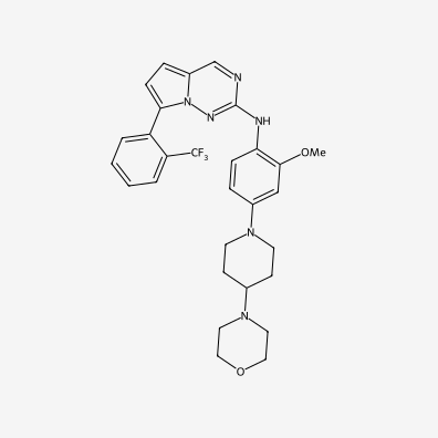 COc1cc(N2CCC(N3CCOCC3)CC2)ccc1Nc1ncc2ccc(-c3ccccc3C(F)(F)F)n2n1